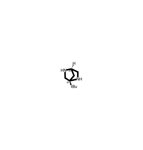 CC(C)(C)[C@]12CN[C@@H](CN1)C2